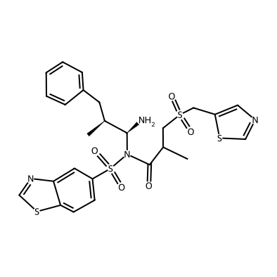 CC(CS(=O)(=O)Cc1cncs1)C(=O)N([C@H](N)[C@@H](C)Cc1ccccc1)S(=O)(=O)c1ccc2scnc2c1